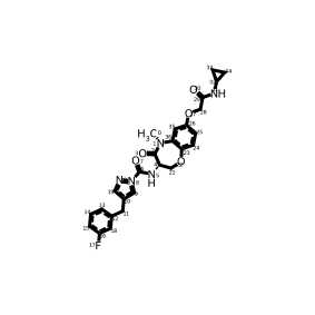 CN1C(=O)[C@@H](NC(=O)n2cc(Cc3cccc(F)c3)cn2)COc2ccc(OCC(=O)NC3CC3)cc21